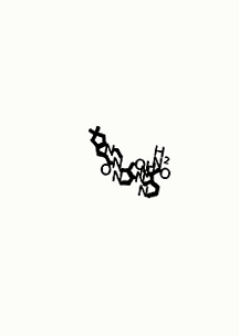 CC1(C)Cc2cc3n(c2C1)CCN(c1nccc(-n2nc(C(N)=O)c4cccnc42)c1CO)C3=O